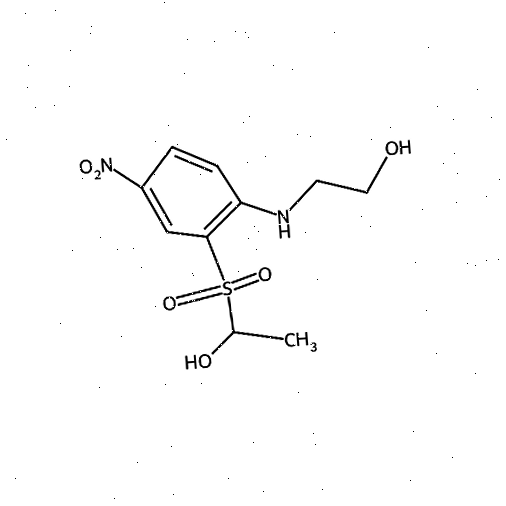 CC(O)S(=O)(=O)c1cc([N+](=O)[O-])ccc1NCCO